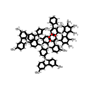 Bc1c(B)c(B)c2c(c1B)c1c(B)c(B)c(B)c(B)c1n2-c1cc(-c2cc3c4c(c2)N(C2(c5ccccc5)C=CC(C(C)(C)C)=C2)c2cc(-n5c6ccc(C(C)(C)C)cc6c6cc(C(C)(C)C)ccc65)ccc2B4c2ccc(-n4c5ccc(C(C)(C)C)cc5c5cc(C(C)(C)C)ccc54)cc2N3c2ccc(C(C)(C)C)cc2-c2ccccc2)cc2c1oc1ccccc12